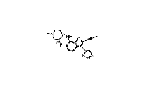 CC#Cc1oc2c(N[C@H]3CCN(C)C[C@@H]3F)cccc2c1-c1cscn1